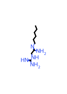 CCCCCCN=C(N)CNC(=N)N